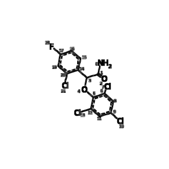 NC(=O)C(Oc1c(Cl)cc(Cl)cc1Cl)c1ccc(F)cc1Cl